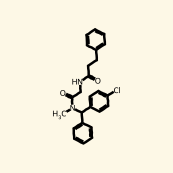 CN(C(=O)CNC(=O)CCc1ccccc1)C(c1ccccc1)c1ccc(Cl)cc1